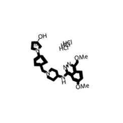 COCc1nnc(NC2CCN(Cc3ccc(N4CC[C@H](O)C4)cc3)CC2)c2cc(OC)ccc12.Cl.Cl.Cl